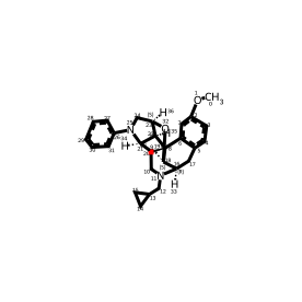 COc1ccc2c(c1)[C@]13CCN(CC4CC4)[C@H](C2)[C@]12CC[C@@H]1[C@H]3[C@@H](CN1c1ccccc1)O2